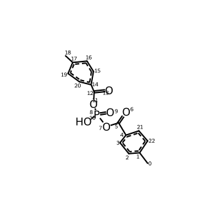 Cc1ccc(C(=O)OP(=O)(O)OC(=O)c2ccc(C)cc2)cc1